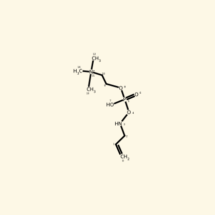 C=CCNOP(=O)(O)OCC[N+](C)(C)C